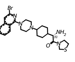 N[C@H](C(=O)N1CCSC1)C1CCC(N2CCN(c3nc(Br)cc4ccccc34)CC2)CC1